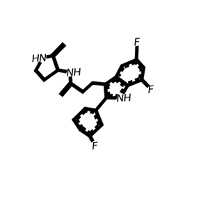 C=C(CCc1c(-c2cccc(F)c2)[nH]c2c(F)cc(F)cc12)NC1CCNC1=C